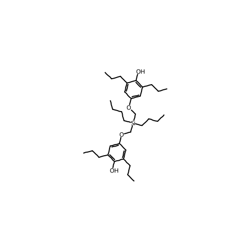 CCCC[Si](CCCC)(COc1cc(CCC)c(O)c(CCC)c1)COc1cc(CCC)c(O)c(CCC)c1